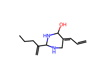 C=C/C=C1\CNC(C(=C)CCC)NC1O